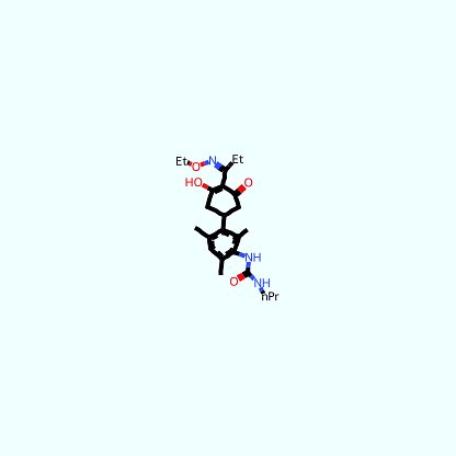 CCCNC(=O)Nc1c(C)cc(C)c(C2CC(=O)C(/C(CC)=N\OCC)=C(O)C2)c1C